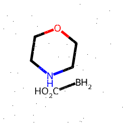 BC(=O)O.C1COCCN1